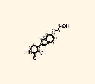 O=c1[nH]ncc(-n2cc3ccc(OCCO)cc3c2)c1Cl